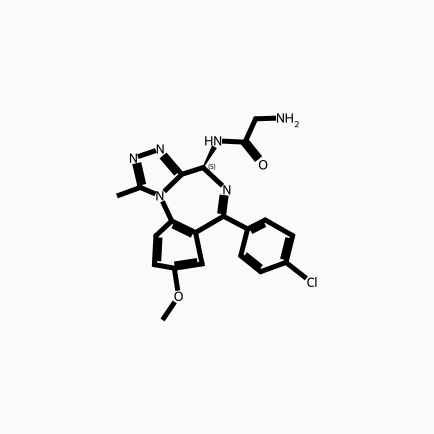 COc1ccc2c(c1)C(c1ccc(Cl)cc1)=N[C@H](NC(=O)CN)c1nnc(C)n1-2